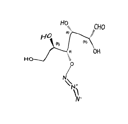 [N-]=[N+]=NO[C@@H]([C@H](O)[C@@H](O)C=O)[C@H](O)CO